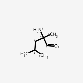 CC(C)CC(C)(N)C=O